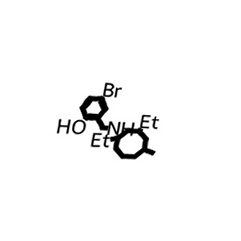 CCC1CC(C)CCCC(CC)(NCc2cc(Br)ccc2O)C1